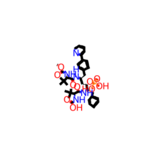 COC(=O)N[C@H](C(=O)N[C@@H](Cc1ccc(-c2ccccn2)cc1)C[C@H](OP(=O)(O)O)[C@H](Cc1ccccc1)NC(=O)[C@@H](NC(=O)O)C(C)(C)C)C(C)(C)C